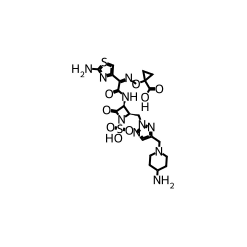 Nc1nc(C(=NOC2(C(=O)O)CC2)C(=O)N[C@@H]2C(=O)N(S(=O)(=O)O)[C@@H]2Cn2ncc(CN3CCC(N)CC3)n2)cs1